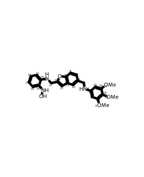 COc1cc(NCc2ccc3oc(CNc4ccccc4NO)cc3c2)cc(OC)c1OC